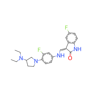 CCN(CC)C1CCN(c2ccc(NC=C3C(=O)Nc4ccc(F)cc43)cc2F)C1